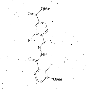 COC(=O)c1ccc(/C=N/NC(=O)c2cccc(OC)c2F)c(F)c1